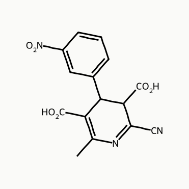 CC1=C(C(=O)O)C(c2cccc([N+](=O)[O-])c2)C(C(=O)O)C(C#N)=N1